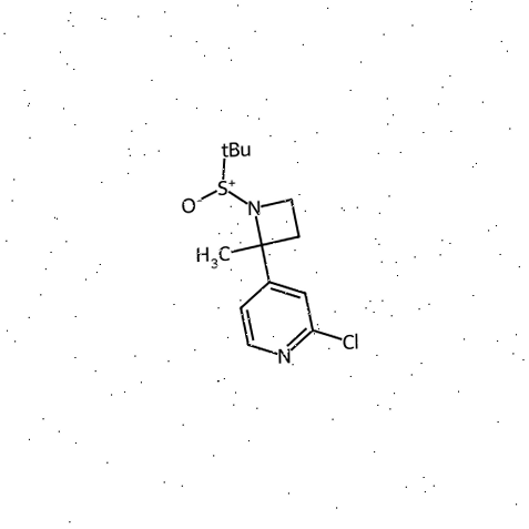 CC1(c2ccnc(Cl)c2)CCN1[S+]([O-])C(C)(C)C